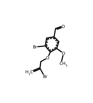 C=C(Br)COc1c(Br)cc(C=O)cc1OC